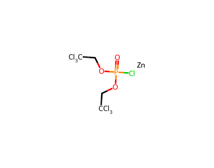 O=P(Cl)(OCC(Cl)(Cl)Cl)OCC(Cl)(Cl)Cl.[Zn]